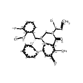 C=C[C@H](CC)N1CN([C@H](c2ccccn2)c2cccc(F)c2OCC)n2ccc(=O)c(O)c2C1=O